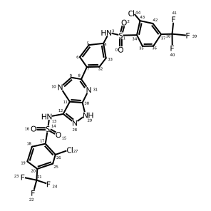 O=S(=O)(Nc1ccc(-c2cnc3c(NS(=O)(=O)c4ccc(C(F)(F)F)cc4Cl)n[nH]c3n2)cc1)c1ccc(C(F)(F)F)cc1Cl